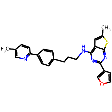 Cc1cc2c(NCCCc3ccc(-c4ccc(C(F)(F)F)cn4)cc3)nc(-c3ccoc3)nc2s1